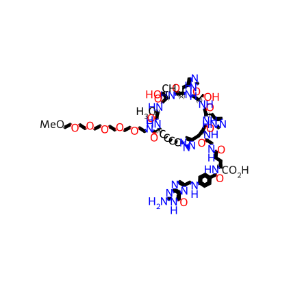 COCCOCCOCCOCCOCCOCCNC(=O)[C@@H]1CCCCn2cc(nn2)C[C@H](NC(=O)CNC(=O)CC[C@H](NC(=O)c2ccc(NCc3cnc4nc(N)[nH]c(=O)c4n3)cc2)C(=O)O)C(=O)N[C@H](Cc2cnc[nH]2)C(=O)N[C@H](CO)C(=O)N[C@H](Cc2cnc[nH]2)C(=O)N[C@H]([C@H](C)O)C(=O)N[C@H](C)C(=O)N1